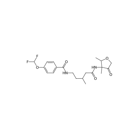 CC(CCNC(=O)c1ccc(OC(F)F)cc1)CC(=O)NC1(C)C(=O)COC1C